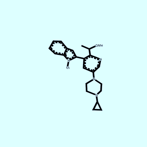 CCn1c(-c2cc(N3CCN(C4CC4)CC3)cnc2C(C)OC)cc2ccccc21